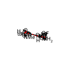 CN[C@H](C)C(=O)N[C@@H](C(=O)N1Cc2cc(OCCCCCCCCC(=O)NCCn3nc4c(c3C#N)-c3cnc(N)c(n3)O[C@H](C)c3cc(F)ccc3C(=O)N(C)C4)ccc2C[C@@H]1C(N)=O)C(C)(C)C